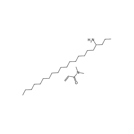 C=CC(=O)N(C)C.CCCCCCCCCCCCCCCCCC(N)CCC